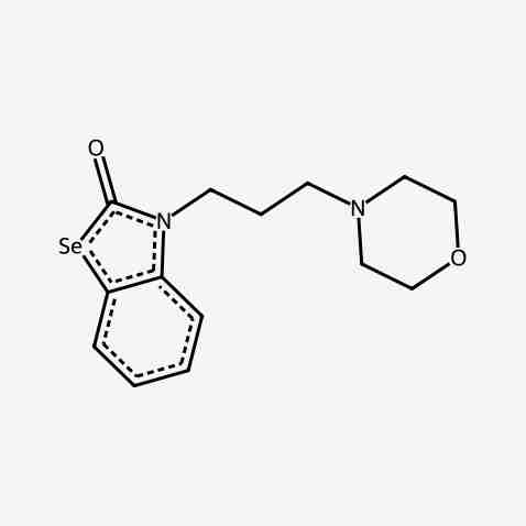 O=c1[se]c2ccccc2n1CCCN1CCOCC1